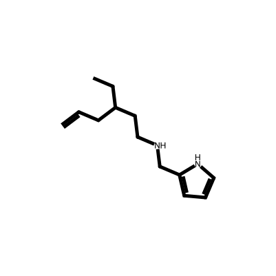 C=CCC(CC)CCNCc1ccc[nH]1